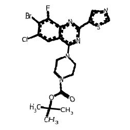 CC(C)(C)OC(=O)N1CCN(c2nc(-c3cncs3)nc3c(F)c(Br)c(Cl)cc23)CC1